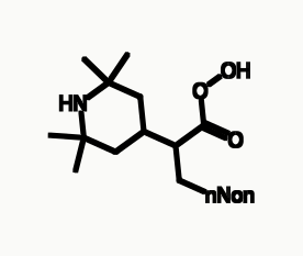 CCCCCCCCCCC(C(=O)OO)C1CC(C)(C)NC(C)(C)C1